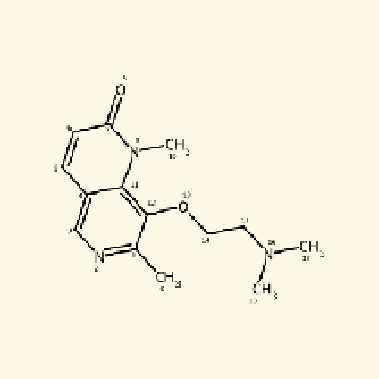 Cc1ncc2ccc(=O)n(C)c2c1OCCN(C)C